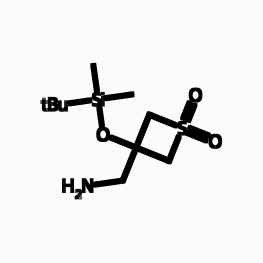 CC(C)(C)[Si](C)(C)OC1(CN)CS(=O)(=O)C1